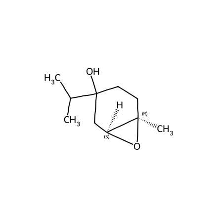 CC(C)C1(O)CC[C@@]2(C)O[C@H]2C1